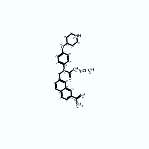 CC(=O)N(Cc1ccc2ccc(C(=N)N)cc2c1)c1ccc(OC2CCNCC2)cc1.Cl.Cl